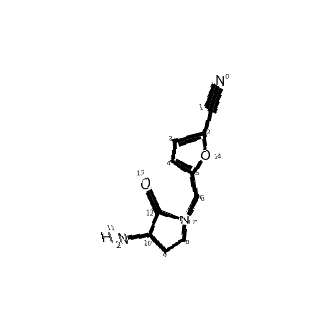 N#Cc1ccc(CN2CCC(N)C2=O)o1